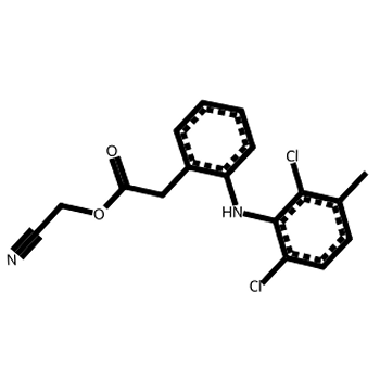 Cc1ccc(Cl)c(Nc2ccccc2CC(=O)OCC#N)c1Cl